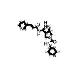 O=C(/C=C/c1cccnc1)Nc1[nH]nc2c1CN(C(=O)Nc1ccccc1)C2